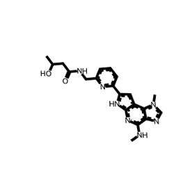 CNc1nc2[nH]c(-c3cccc(CNC(=O)CC(C)O)n3)cc2c2c1ncn2C